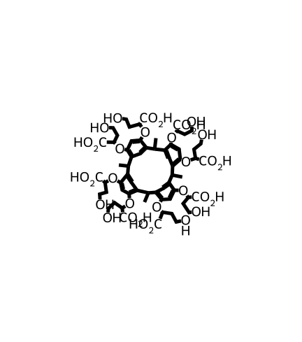 CC1c2cc(c(OC(CCO)C(=O)O)cc2OC(CCO)C(=O)O)C(C)c2cc(c(OC(CCO)C(=O)O)cc2OC(CCO)C(=O)O)C(C)c2cc(c(OC(CCO)C(=O)O)cc2OC(CCO)C(=O)O)C(C)c2cc1c(OC(CCO)C(=O)O)cc2OC(CCO)C(=O)O